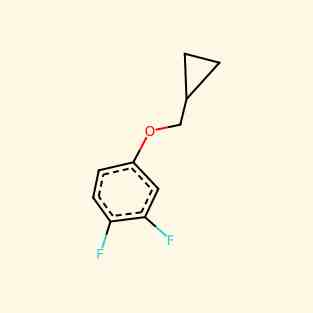 Fc1ccc(OCC2CC2)cc1F